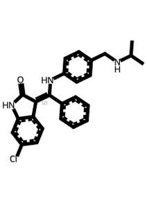 CC(C)NCc1ccc(N/C(=C2\C(=O)Nc3cc(Cl)ccc32)c2ccccc2)cc1